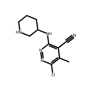 Cc1c(Cl)nnc(NC2CCCNC2)c1C#N